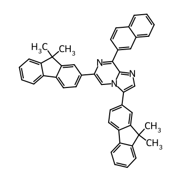 CC1(C)c2ccccc2-c2ccc(-c3cn4c(-c5ccc6c(c5)C(C)(C)c5ccccc5-6)cnc4c(-c4ccc5ccccc5c4)n3)cc21